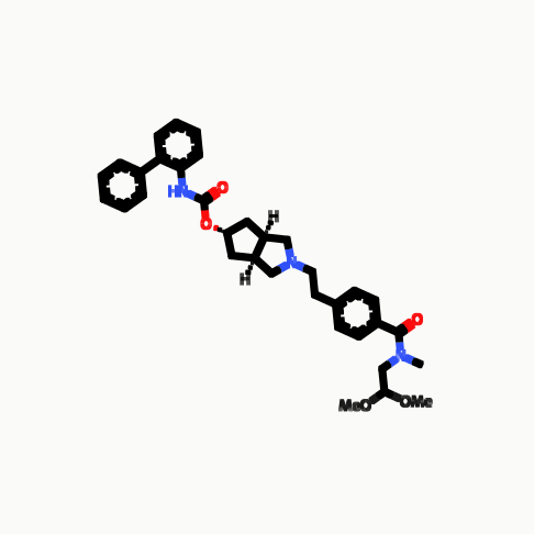 COC(CN(C)C(=O)c1ccc(CCN2C[C@H]3C[C@H](OC(=O)Nc4ccccc4-c4ccccc4)C[C@H]3C2)cc1)OC